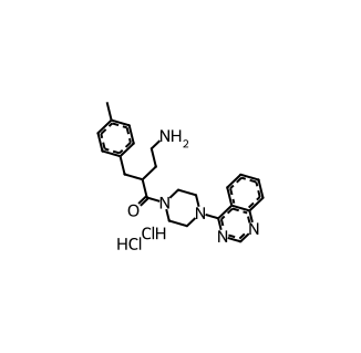 Cc1ccc(CC(CCN)C(=O)N2CCN(c3ncnc4ccccc34)CC2)cc1.Cl.Cl